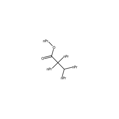 CCCOC(=O)C(CCC)(CCC)C(CCC)CCC